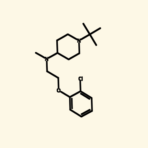 CN(CCOc1ccccc1Cl)C1CCN(C(C)(C)C)CC1